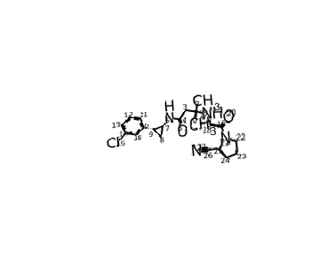 CC(C)(CC(=O)N[C@H]1C[C@@H]1c1cccc(Cl)c1)NCC(=O)N1CCC[C@H]1C#N